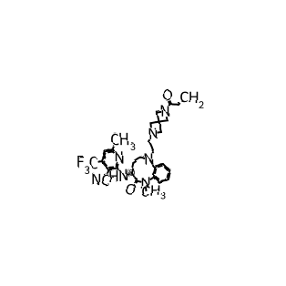 C=CC(=O)N1CC2(CN(CCN3CC[C@H](Nc4nc(C)cc(C(F)(F)F)c4C#N)C(=O)N(C)c4ccccc43)C2)C1